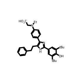 CCN(CC(=O)O)c1ccc(-c2nc(-c3cc(C(C)(C)C)c(O)c(C(C)(C)C)c3)[nH]c2CCc2ccccc2)cc1